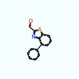 O=Cc1nc2c(-c3ccccc3)cccc2s1